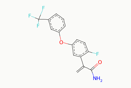 C=C(C(N)=O)c1cc(Oc2cccc(C(F)(F)F)c2)ccc1F